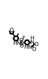 Cc1cc(NS(=O)(=O)c2cc3[nH]c(=O)c(=O)[nH]c3cc2F)ccc1-c1ccoc1